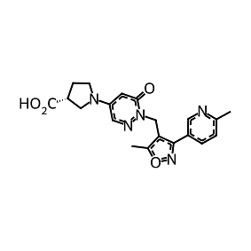 Cc1ccc(-c2noc(C)c2Cn2ncc(N3CC[C@@H](C(=O)O)C3)cc2=O)cn1